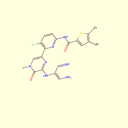 CCc1sc(C(=O)Nc2ccc(F)c(-c3cn(C)c(=O)c(N/C(C=N)=C/N)n3)n2)cc1C(C)C